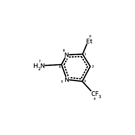 CCc1cc(C(F)(F)F)nc(N)n1